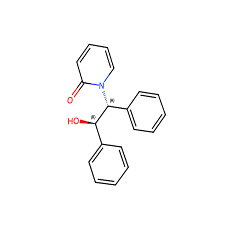 O=c1ccccn1[C@H](c1ccccc1)[C@H](O)c1ccccc1